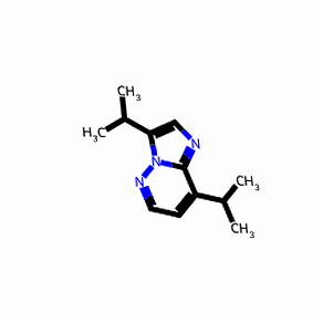 CC(C)c1ccnn2c(C(C)C)cnc12